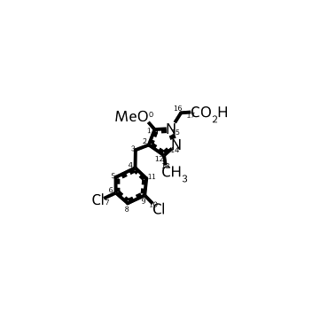 COc1c(Cc2cc(Cl)cc(Cl)c2)c(C)nn1CC(=O)O